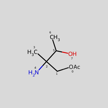 CC(=O)OCC(C)(N)C(C)O